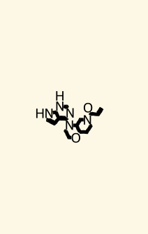 C=CC(=O)N1CCC2OCCN(C3=C4C=CNC4NC=N3)C2C1